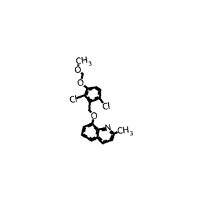 COCOc1ccc(Cl)c(COc2cccc3ccc(C)nc23)c1Cl